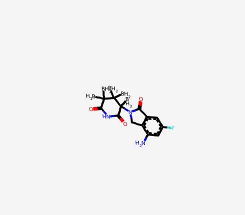 BC1(B)C(=O)NC(=O)C(B)(N2Cc3c(N)cc(F)cc3C2=O)C1(B)B